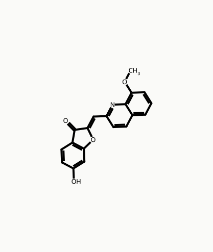 COc1cccc2ccc(/C=C3\Oc4cc(O)ccc4C3=O)nc12